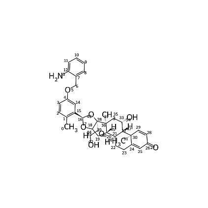 Cc1ccc(OCc2ccccc2N)cc1[C@@H]1O[C@@H]2C[C@H]3[C@@H]4CCC5=CC(=O)C=C[C@]5(C)[C@H]4[C@@H](O)C[C@]3(C)[C@]2(C(=O)CO)O1